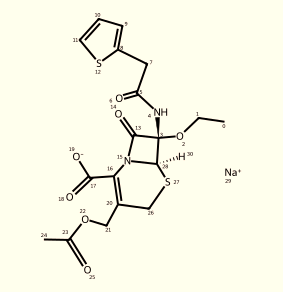 CCO[C@@]1(NC(=O)Cc2cccs2)C(=O)N2C(C(=O)[O-])=C(COC(C)=O)CS[C@@H]21.[Na+]